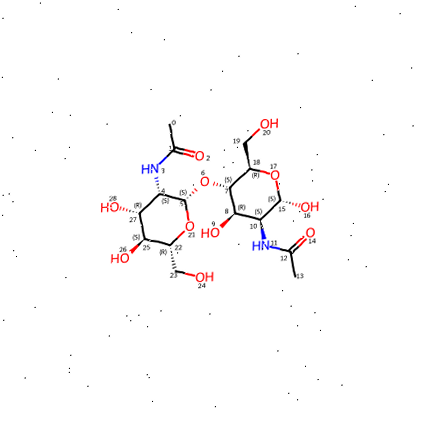 CC(=O)N[C@@H]1[C@H](O[C@H]2[C@H](O)[C@H](NC(C)=O)[C@@H](O)O[C@@H]2CO)O[C@H](CO)[C@@H](O)[C@@H]1O